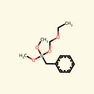 CCOCO[Si](Cc1ccccc1)(OC)OC